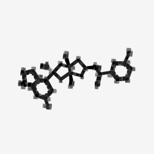 O=C(N[C@H]1C[C@@H]2C[C@@](O)(c3cc(Cl)cc4[nH]ncc34)C[C@@H]2C1)c1cccc(Cl)c1